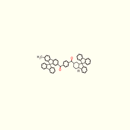 Cc1ccc2c(c1)C1(c3ccccc3-c3ccccc31)c1cc(C(=O)c3ccc(C(=O)C4CC[C@@H]5c6ccccc6C6(c7ccccc7-c7ccccc76)C5C4)cc3)ccc1-2